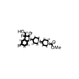 COC(=O)N1CCC(N2CCC(N3C(=O)C(F)(CO)c4cc(F)ccc43)CC2)CC1